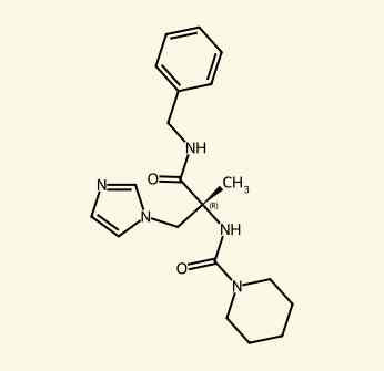 C[C@](Cn1ccnc1)(NC(=O)N1CCCCC1)C(=O)NCc1ccccc1